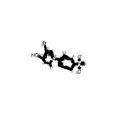 CS(=O)(=O)c1ccc(-n2cc(Br)c(O)cc2=O)cc1